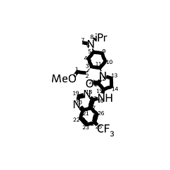 COCC[C@@H]1C[C@H](N(C)C(C)C)CC[C@@H]1N1CCC(Nc2ncnc3ccc(C(F)(F)F)cc23)C1=O